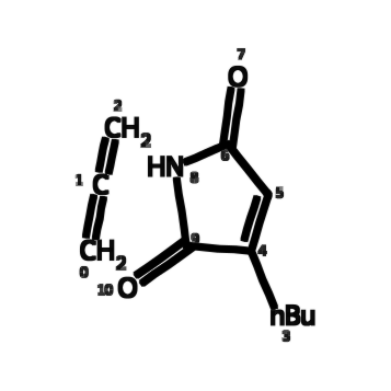 C=C=C.CCCCC1=CC(=O)NC1=O